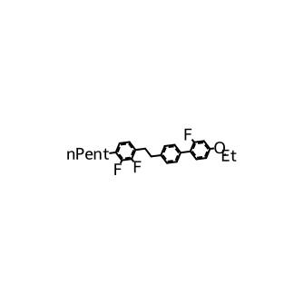 CCCCCc1ccc(CCc2ccc(-c3ccc(OCC)cc3F)cc2)c(F)c1F